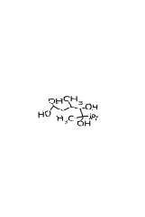 CC(CC(O)O)C(O)C(C)(O)C(C)C